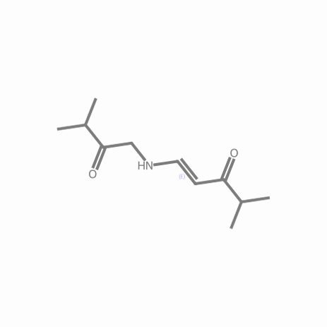 CC(C)C(=O)/C=C/NCC(=O)C(C)C